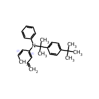 C=C/C=C(\C=C/C)N(c1ccccc1)C(C)(C)c1ccc(C(C)(C)C)cc1